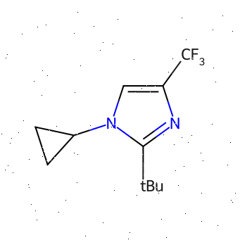 CC(C)(C)c1nc(C(F)(F)F)cn1C1CC1